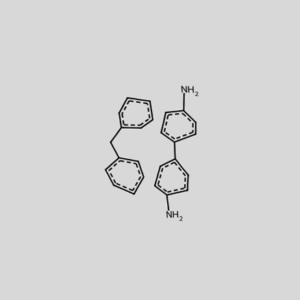 Nc1ccc(-c2ccc(N)cc2)cc1.c1ccc(Cc2ccccc2)cc1